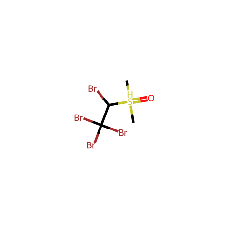 C[SH](C)(=O)C(Br)C(Br)(Br)Br